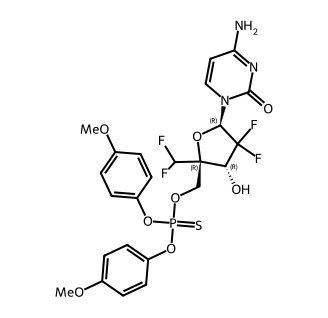 COc1ccc(OP(=S)(OC[C@@]2(C(F)F)O[C@@H](n3ccc(N)nc3=O)C(F)(F)[C@@H]2O)Oc2ccc(OC)cc2)cc1